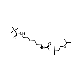 CC(C)OCCC(C)(C)OC(=O)NCCCCCCNC(=O)C(C)(C)C